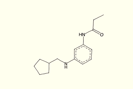 CCC(=O)Nc1cccc(NCC2CCCC2)c1